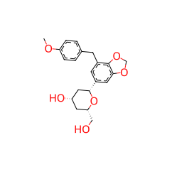 COc1ccc(Cc2cc([C@H]3C[C@@H](O)C[C@@H](CO)O3)cc3c2OCO3)cc1